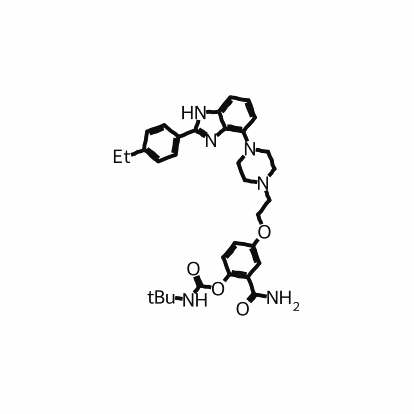 CCc1ccc(-c2nc3c(N4CCN(CCOc5ccc(OC(=O)NC(C)(C)C)c(C(N)=O)c5)CC4)cccc3[nH]2)cc1